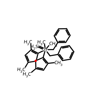 CC1=CC(C)=[C]([Zr]([CH3])([CH3])(=[SiH2])([CH2]c2ccccc2)([CH2]c2ccccc2)[C]2=C(C)C=C(C)C2)C1